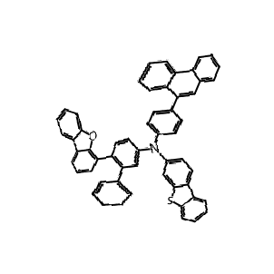 C1=CC(c2cc(N(c3ccc(-c4cc5ccccc5c5ccccc45)cc3)c3ccc4c(c3)sc3ccccc34)ccc2-c2cccc3c2oc2ccccc23)=CCC1